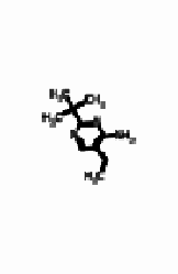 CCc1cnc(C(C)(C)C)nc1N